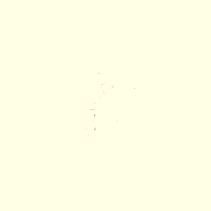 COC[C@@H]1CSCC/C=C\[C@@H]2C[C@@]2(C(=O)NS(=O)(=O)C2CC2)NC(=O)[C@@H]2C[C@@H](O)CN2C(=O)[C@H]1NC(=O)OC(C)(C)C